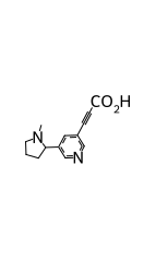 CN1CCCC1c1cncc(C#CC(=O)O)c1